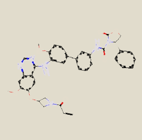 C=CC(=O)N1CC(Oc2cc3c(Nc4cc(-c5cccc(NC(=O)N6C(=O)OC[C@H]6c6ccccc6)c5)ccc4OC)ncnc3cc2OC)C1